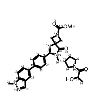 COC(=O)N1CC2(C1)N=C(c1ccc(-c3ccc4c(cnn4C)c3)cc1)N(C[C@@H]1CCN(C(=O)C(C)O)C1)C2=O